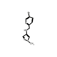 Cn1cc(NCc2ccc(Br)cn2)cn1